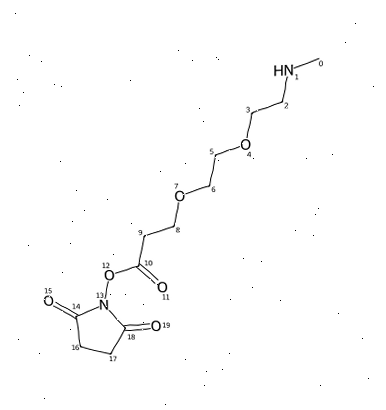 CNCCOCCOCCC(=O)ON1C(=O)CCC1=O